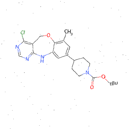 Cc1cc(C2CCN(C(=O)OC(C)(C)C)CC2)cc2c1OCc1c(Cl)ncnc1N2